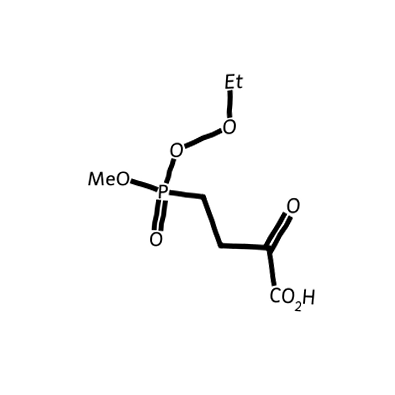 CCOOP(=O)(CCC(=O)C(=O)O)OC